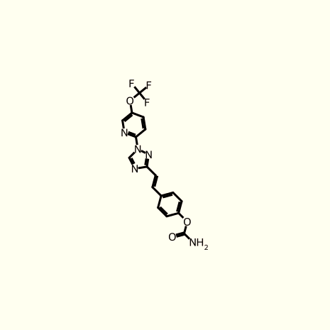 NC(=O)Oc1ccc(C=Cc2ncn(-c3ccc(OC(F)(F)F)cn3)n2)cc1